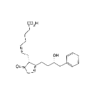 O=C(O)CCC/C=C\C[C@H]1C(=O)CC=C1CC[C@H](O)Cc1ccccc1